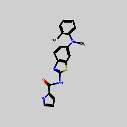 Cc1ccccc1N(C)c1ccc2nc(NC(=O)c3ccc[nH]3)sc2c1